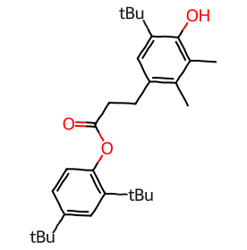 Cc1c(CCC(=O)Oc2ccc(C(C)(C)C)cc2C(C)(C)C)cc(C(C)(C)C)c(O)c1C